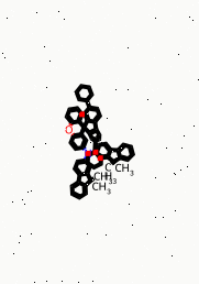 CC1(C)c2ccccc2-c2ccc(N(c3ccc4c(c3)C(C)(C)c3ccccc3-4)c3ccc4c(c3)C3(c5ccccc5O4)c4cc(C5CCCCC5)ccc4-c4ccc(C5CCCCC5)cc43)cc21